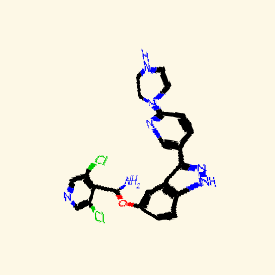 N[C@@H](Oc1ccc2[nH]nc(-c3ccc(N4CCNCC4)nc3)c2c1)c1c(Cl)cncc1Cl